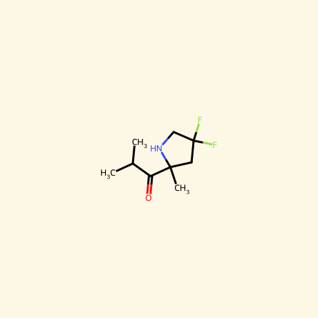 CC(C)C(=O)C1(C)CC(F)(F)CN1